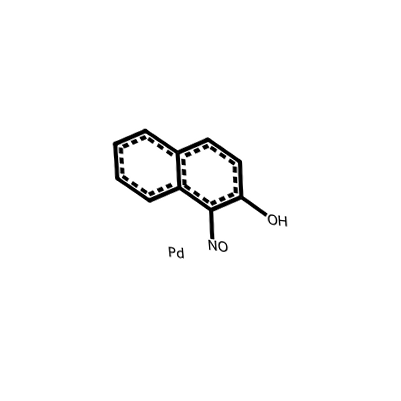 O=Nc1c(O)ccc2ccccc12.[Pd]